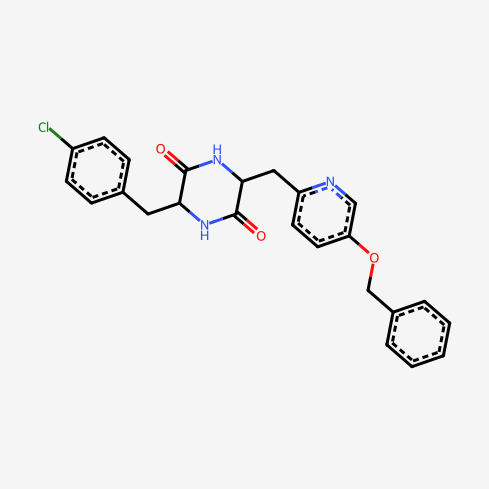 O=C1NC(Cc2ccc(OCc3ccccc3)cn2)C(=O)NC1Cc1ccc(Cl)cc1